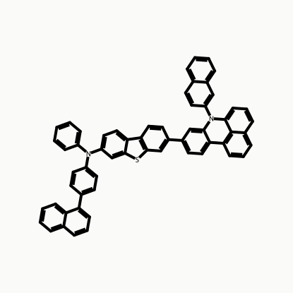 c1ccc(N(c2ccc(-c3cccc4ccccc34)cc2)c2ccc3c(c2)sc2cc(-c4ccc5c(c4)N(c4ccc6ccccc6c4)c4cccc6cccc-5c46)ccc23)cc1